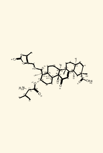 Cc1oc(=O)oc1COC(=O)[C@]1(C)[C@@H](OC(=O)[C@@H](N)C(C)C)CC[C@@]2(C)[C@H]1CC[C@]1(C)[C@@H]2C(=O)C=C2[C@@H]3C[C@@](C)(C(=O)O)CC[C@]3(C)CC[C@]21C